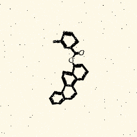 Cc1cccc(C(=O)Oc2cccc3c2ccc2c4ccccc4ccc32)c1